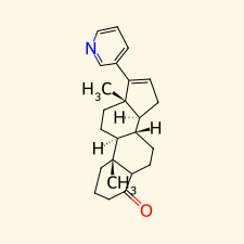 C[C@]12CCCC(=O)C1CC[C@@H]1[C@@H]2CC[C@]2(C)C(c3cccnc3)=CC[C@@H]12